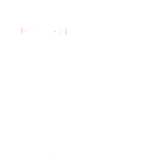 CC(C)(C)CCCCCCc1c(CCCCCCC2(C)CC2)ccc(O)c1O